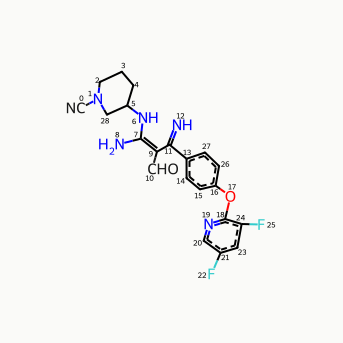 N#CN1CCCC(N/C(N)=C(/C=O)C(=N)c2ccc(Oc3ncc(F)cc3F)cc2)C1